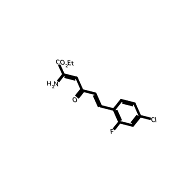 CCOC(=O)/C(N)=C/C(=O)/C=C/c1ccc(Cl)cc1F